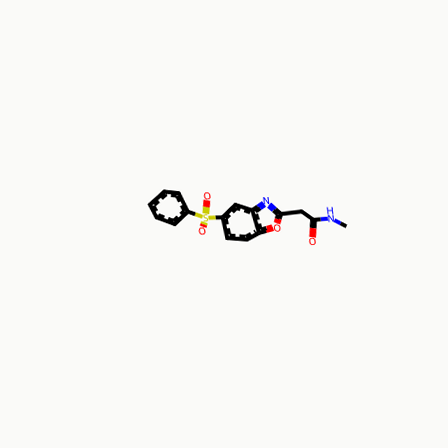 CNC(=O)Cc1nc2cc(S(=O)(=O)c3ccccc3)ccc2o1